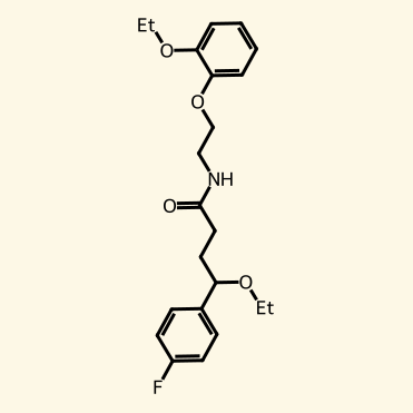 CCOc1ccccc1OCCNC(=O)CCC(OCC)c1ccc(F)cc1